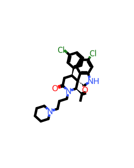 C=C(C)[C@H]1N(CCCN2CCCCC2)C(=O)C[C@@H](c2cccc(Cl)c2)[C@]12C(=O)Nc1cc(Cl)ccc12